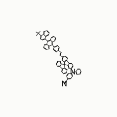 CC(C)(C)c1ccc(-c2c3ccccc3c(-c3ccc(/C=C/c4ccc5c(c4)C4(c6ccccc6-c6ccccc64)c4cc(N(c6ccccc6)c6ccc(C#N)cc6)ccc4-5)cc3)c3ccccc23)c2ccccc12